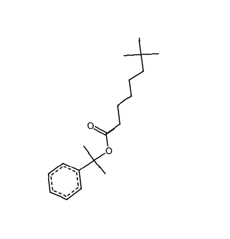 CC(C)(C)CCCCCC(=O)OC(C)(C)c1ccccc1